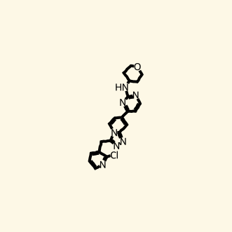 Clc1ncccc1Cc1nnc2cc(-c3ccnc(NC4CCOCC4)n3)ccn12